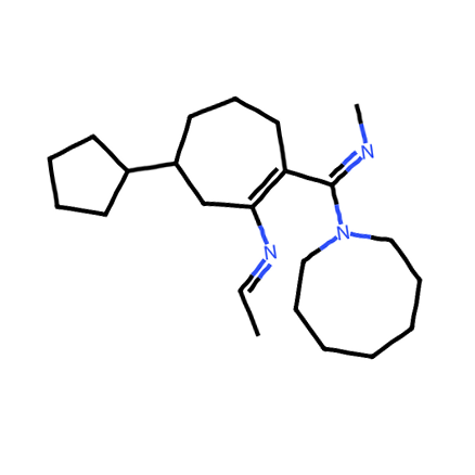 C/C=N/C1=C(C(=N\C)/N2CCCCCCC2)CCCC(C2CCCC2)C1